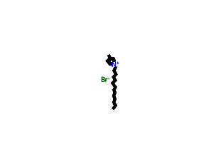 CCCCCCCCCCCCCC[n+]1ccc(C)cc1.[Br-]